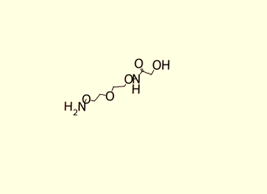 NOCCOCCONC(=O)CO